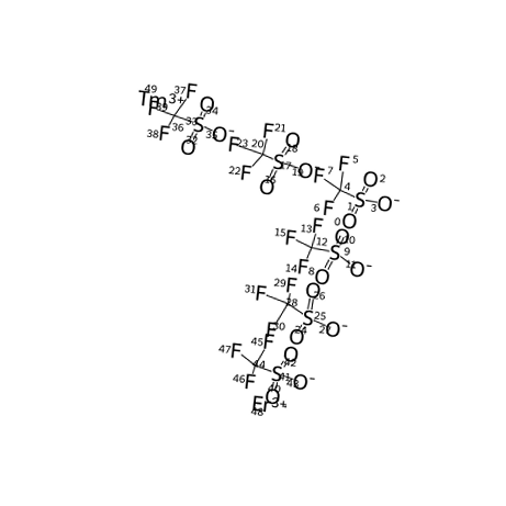 O=S(=O)([O-])C(F)(F)F.O=S(=O)([O-])C(F)(F)F.O=S(=O)([O-])C(F)(F)F.O=S(=O)([O-])C(F)(F)F.O=S(=O)([O-])C(F)(F)F.O=S(=O)([O-])C(F)(F)F.[Er+3].[Tm+3]